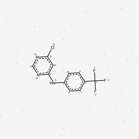 FC(F)(F)c1ccc(Nc2cc(Cl)ncn2)cc1